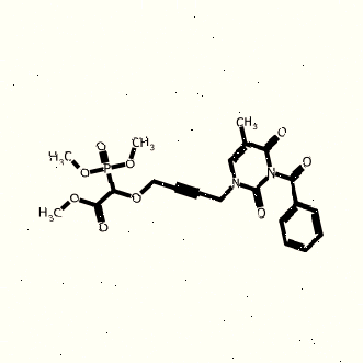 COC(=O)C(OCC#CCn1cc(C)c(=O)n(C(=O)c2ccccc2)c1=O)P(=O)(OC)OC